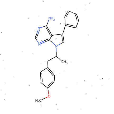 COc1ccc(CC(C)n2cc(-c3ccccc3)c3c(N)ncnc32)cc1